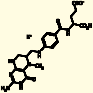 CN1c2c(nc(N)[nH]c2=O)NCC1CNc1ccc(C(=O)NC(CCC(=O)[O-])C(=O)O)cc1.[K+]